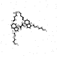 C[C@]12CC[C@H](C=CCCO)C[C@@]1(OC(=O)C(=O)O[C@]13CC[C@H](C=NOCCN)[C@@]1(C)CC[C@H](C=CCCO)C3)CC[C@@H]2C=NOCCN